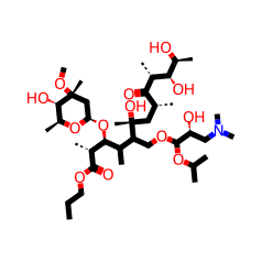 CCCOC(=O)[C@H](C)[C@@H](O[C@H]1C[C@@](C)(OC)[C@@H](O)[C@H](C)O1)C(C)C(COC(OC(C)C)[C@H](O)CN(C)C)[C@](C)(O)C[C@@H](C)C(=O)[C@H](C)[C@@H](O)[C@H](C)O